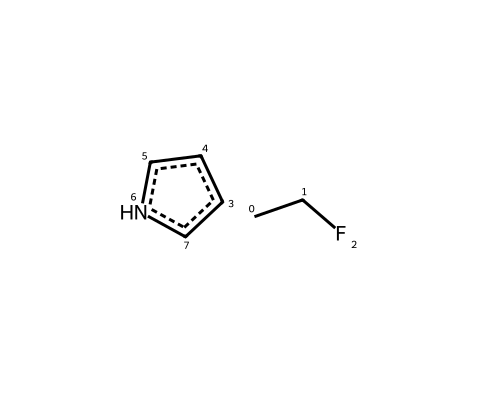 CCF.c1cc[nH]c1